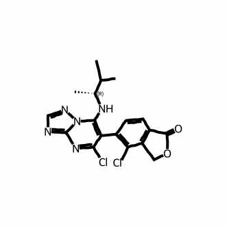 CC(C)[C@@H](C)Nc1c(-c2ccc3c(c2Cl)COC3=O)c(Cl)nc2ncnn12